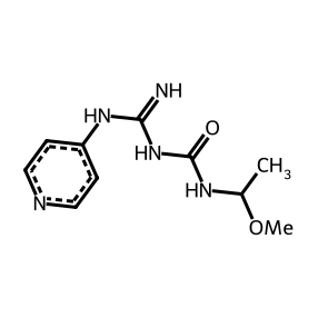 COC(C)NC(=O)NC(=N)Nc1ccncc1